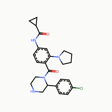 O=C(Nc1ccc(C(=O)N2CCNCC2c2ccc(Cl)cc2)c(N2CCCC2)c1)C1CC1